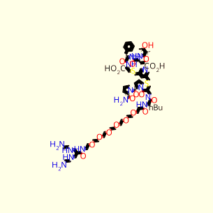 CCCC[C@H](NC(=O)CCOCCOCCOCCOCCOCCOCCNC(=O)C(CNCCN)CNCCN)C(=O)/N=C/C(CSCc1cncc(CSC[C@H](NC(=O)[C@H](Cc2ccccc2)NC(=O)[C@H](CCC(=O)O)NC(=O)[C@@H](C)[C@@H](C)O)C(=O)O)c1)C(=O)N1CCC[C@H]1C(=O)N1CCC[C@H]1C(N)=O